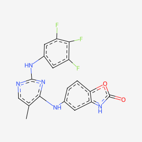 Cc1cnc(Nc2cc(F)c(F)c(F)c2)nc1Nc1ccc2oc(=O)[nH]c2c1